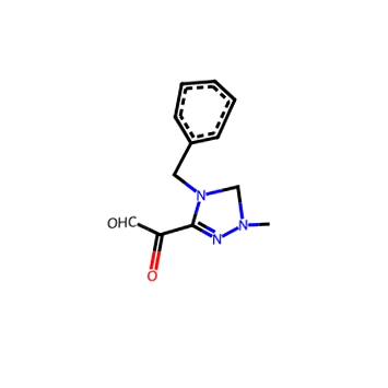 CN1CN(Cc2ccccc2)C(C(=O)C=O)=N1